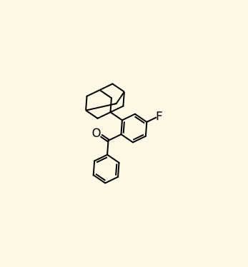 O=C(c1ccccc1)c1ccc(F)cc1C12CC3CC(CC(C3)C1)C2